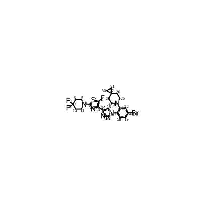 Fc1sc(N2CCC(F)(F)CC2)nc1-c1cn(-c2ccc(Br)cc2N2CCC3(CC2)CC3)nn1